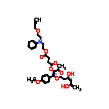 C#CCOCCN(CCOC(=O)CCC(=O)O/C(C(C)=O)=C(/OCC/C(O)=C\C(=C)O)c1ccc(OC)cc1)c1ccccc1